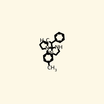 Cc1ccc([N+]2(C3(C(C)c4ccccc4)NCCN3)C=CCC2)cc1